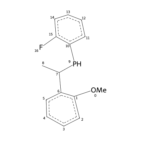 COc1ccccc1C(C)Pc1ccccc1F